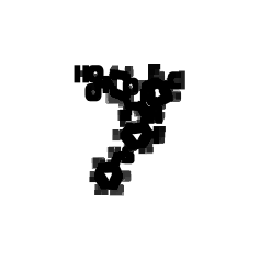 O=C(O)N1CCO[C@@H](Cc2c(-c3c(F)cc(SCc4ccccc4)cc3F)nc3cc(Cl)c(F)cn23)C1